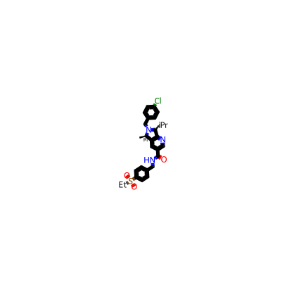 CCS(=O)(=O)c1ccc(CNC(=O)c2cnc3c(c2)[C@@H](C)N(Cc2ccc(Cl)cc2)[C@H]3C(C)C)cc1